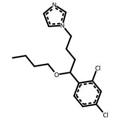 CCCCOC(CCCn1ccnc1)c1ccc(Cl)cc1Cl